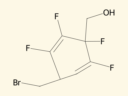 OCC1(F)C(F)=CC(CBr)C(F)=C1F